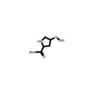 CCCOC1CNC(C(=O)NC)C1